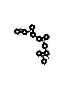 c1ccc2c(c1)Oc1ccc(-c3ccc(-n4c5ccccc5c5cc(-c6ccc7c(c6)c6ccccc6n7-c6ccc7c(c6)oc6ccccc67)ccc54)cc3)c3c4ccccc4n-2c13